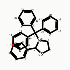 c1ccc(C2SCCN2C(c2ccccc2)(c2ccccc2)c2ccccc2)cc1